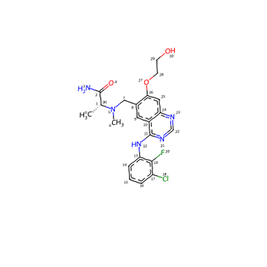 C[C@H](C(N)=O)N(C)Cc1cc2c(Nc3cccc(Cl)c3F)ncnc2cc1OCCO